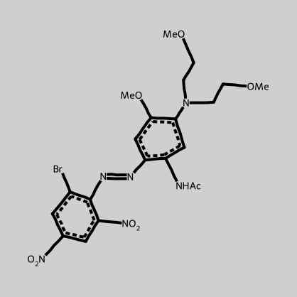 COCCN(CCOC)c1cc(NC(C)=O)c(N=Nc2c(Br)cc([N+](=O)[O-])cc2[N+](=O)[O-])cc1OC